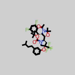 CC(=O)N1[C@@H](Cc2cc(F)cc(F)c2)[C@@H]([C@H]2C[C@](Oc3cccc(CCC(C)C)c3)(C(F)(F)F)CN2C(=O)OC(C)(C)C)OC1(C)C